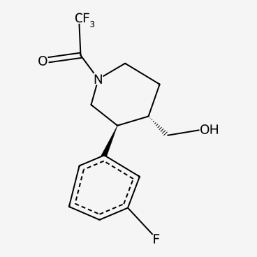 O=C(N1CC[C@H](CO)[C@@H](c2cccc(F)c2)C1)C(F)(F)F